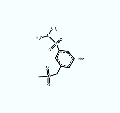 CN(C)S(=O)(=O)c1cccc(CS(=O)(=O)[O-])c1.[Na+]